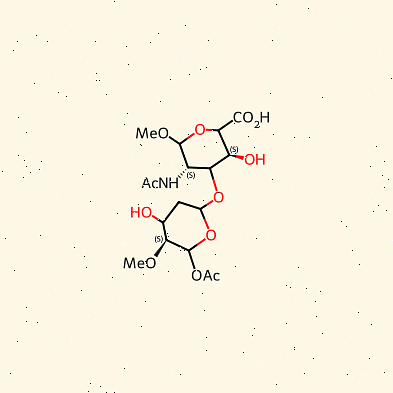 COC1OC(C(=O)O)[C@@H](O)C(OC2CC(O)[C@H](OC)C(OC(C)=O)O2)[C@@H]1NC(C)=O